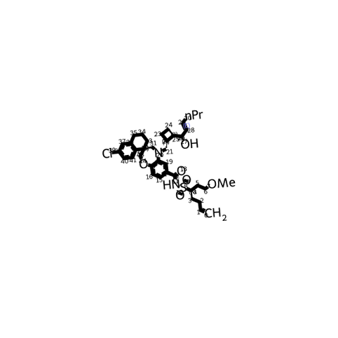 C=CCC[C@H](CCOC)S(=O)(=O)NC(=O)c1ccc2c(c1)N(C[C@@H]1CC[C@H]1[C@@H](O)/C=C/CCC)C[C@@]1(CCCc3cc(Cl)ccc31)CO2